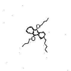 CCCCCc1ccc2c(OCCCC)c3ccccc3c(OCCCC)c2c1